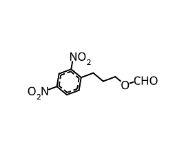 O=COCCCc1ccc([N+](=O)[O-])cc1[N+](=O)[O-]